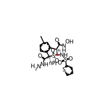 CCC[C@](C(=O)NN)(c1ccc(C)cc1[C@H](CNS(=O)(=O)c1cccs1)C(=O)NO)S(C)(=O)=O